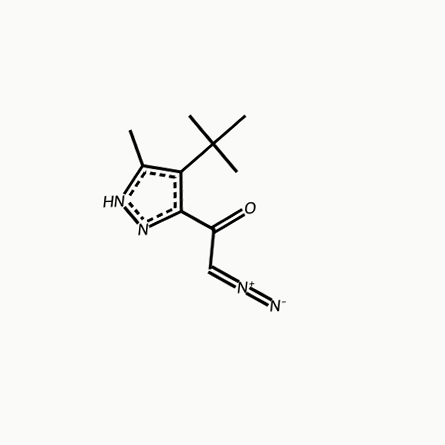 Cc1[nH]nc(C(=O)C=[N+]=[N-])c1C(C)(C)C